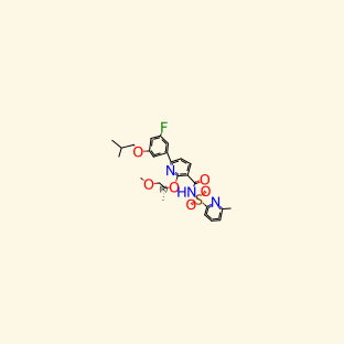 COC[C@@H](C)Oc1nc(-c2cc(F)cc(OCC(C)C)c2)ccc1C(=O)NS(=O)(=O)c1cccc(C)n1